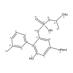 CCCCCc1cc(O)c(-c2cccc(C)c2)c(OP(=O)(CCC)OC(C)OC(C)=O)c1